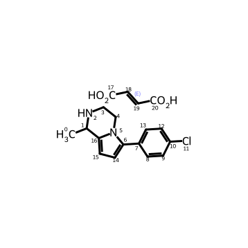 CC1NCCn2c(-c3ccc(Cl)cc3)ccc21.O=C(O)/C=C/C(=O)O